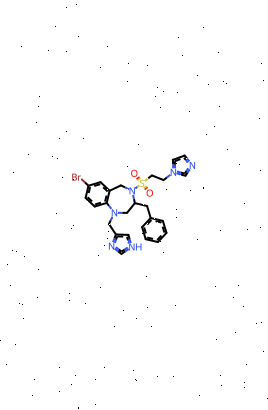 O=S(=O)(CCn1ccnc1)N1Cc2cc(Br)ccc2N(Cc2c[nH]cn2)CC1Cc1ccccc1